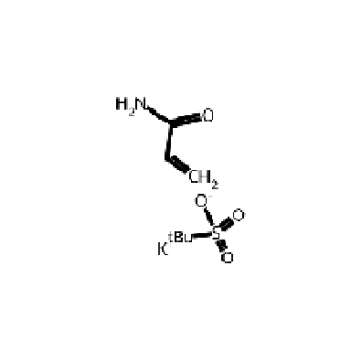 C=CC(N)=O.CC(C)(C)S(=O)(=O)[O-].[K+]